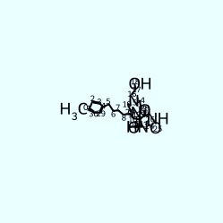 Cc1ccc(CCCCCCC2(N3CCN(CCO)CC3)C(=O)NC(=O)NC2=O)cc1